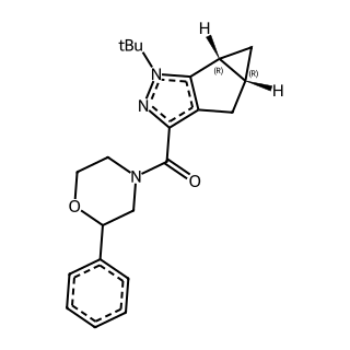 CC(C)(C)n1nc(C(=O)N2CCOC(c3ccccc3)C2)c2c1[C@@H]1C[C@@H]1C2